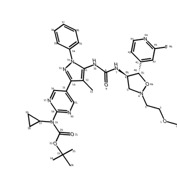 COCCN1C[C@@H](NC(=O)Nc2c(C)c(-c3cnc(N(C(=O)OC(C)(C)C)C4CC4)nc3)nn2-c2ccccc2)[C@H](c2ccnc(F)c2)O1